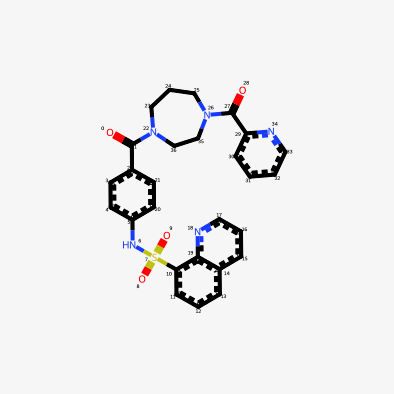 O=C(c1ccc(NS(=O)(=O)c2cccc3cccnc23)cc1)N1CCCN(C(=O)c2ccccn2)CC1